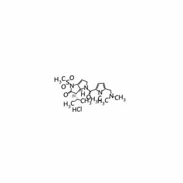 CC(C)[C@@H]1C(=O)N(S(C)(=O)=O)C2=CCN(C(=O)c3ccc(CN(C)C)n3C)[C@H]21.Cl